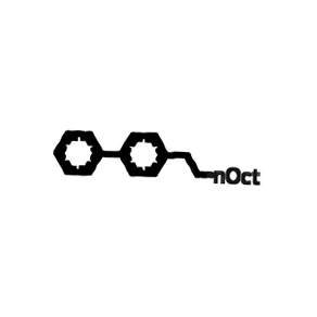 CCCCCCCCCCc1ccc(-c2ccccc2)cc1